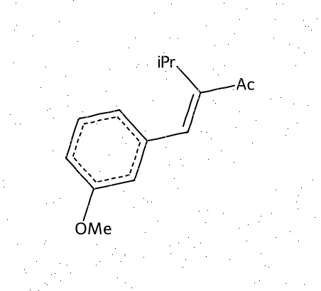 COc1cccc(/C=C(/C(C)=O)C(C)C)c1